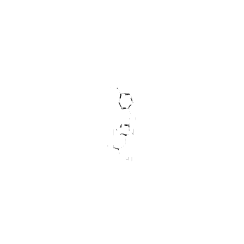 CC(C)(C)C(=O)Cc1nc(Oc2ccc(Cl)cc2)c[nH]1